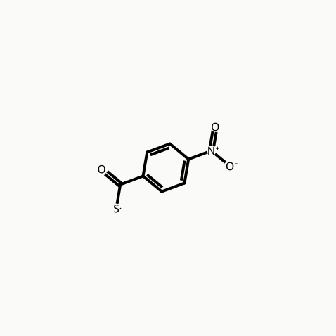 O=C([S])c1ccc([N+](=O)[O-])cc1